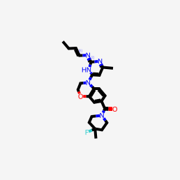 CC/C=C/N=c1/nc(C)cc(N2CCOc3cc(C(=O)N4CCC(C)(F)CC4)ccc32)[nH]1